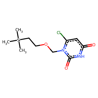 C[Si](C)(C)CCOCn1c(Cl)cc(=O)[nH]c1=O